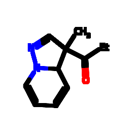 CCC(=O)C1(C)C=NN2C=CC=CC21